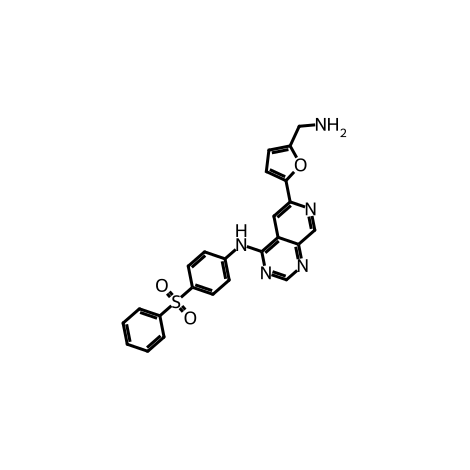 NCc1ccc(-c2cc3c(Nc4ccc(S(=O)(=O)c5ccccc5)cc4)ncnc3cn2)o1